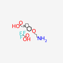 NCCCOc1ccc2c(c1)CC[C@H]2CC(=O)O.O=C(O)C(F)(F)F